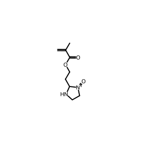 C=C(C)C(=O)OCCC1NCC[N+]1=O